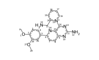 COc1ccc(-c2ccc3nc(N)nc(-[n+]4ccccc4CN)c3n2)cc1OC